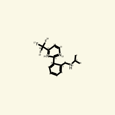 CC(C)NCc1ccccc1-c1nccc(C(F)(F)F)n1